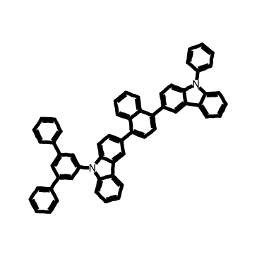 c1ccc(-c2cc(-c3ccccc3)cc(-n3c4ccccc4c4cc(-c5ccc(-c6ccc7c(c6)c6ccccc6n7-c6ccccc6)c6ccccc56)ccc43)c2)cc1